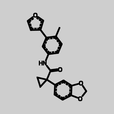 Cc1ccc(NC(=O)C2(c3ccc4c(c3)OCO4)CC2)cc1-c1ccoc1